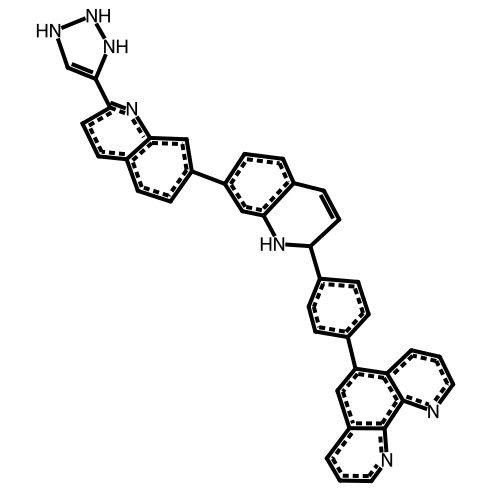 C1=CC(c2ccc(-c3cc4cccnc4c4ncccc34)cc2)Nc2cc(-c3ccc4ccc(C5=CNNN5)nc4c3)ccc21